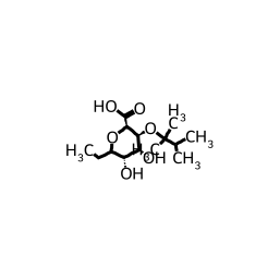 CCC1O[C@@H](C(=O)O)[C@@H](OC(C)(C)C(C)C)[C@H](O)[C@@H]1O